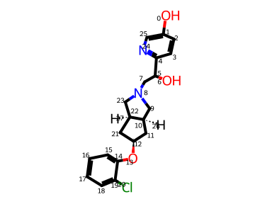 Oc1ccc(C(O)CN2C[C@H]3C[C@@H](Oc4ccccc4Cl)C[C@H]3C2)nc1